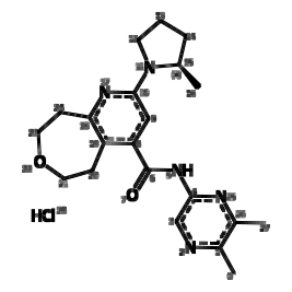 Cc1ncc(NC(=O)c2cc(N3CCC[C@H]3C)nc3c2CCOCC3)nc1C.Cl